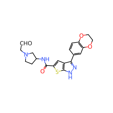 O=CCN1CCC(NC(=O)c2cc3c(-c4ccc5c(c4)OCCO5)n[nH]c3s2)C1